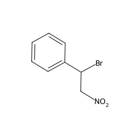 O=[N+]([O-])CC(Br)c1ccccc1